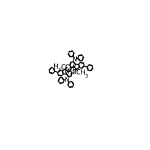 CC1(C)c2cc(-c3ccccc3)ccc2-c2c(N(c3ccccc3)c3ccccc3)ccc(-c3ccc(N(c4ccccc4)c4ccccc4)c4c3C(C)(C)c3cc(-c5ccccc5)ccc3-4)c21